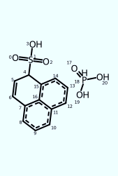 O=S(=O)(O)C1C=Cc2cccc3cccc1c23.O=[PH](O)O